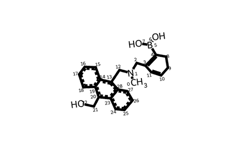 CN(CC1=C(B(O)O)CCC=C1)Cc1c2ccccc2c(CO)c2ccccc12